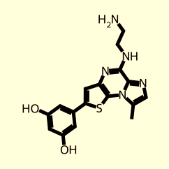 Cc1cnc2c(NCCN)nc3cc(-c4cc(O)cc(O)c4)sc3n12